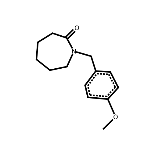 COc1ccc(CN2CCCCCC2=O)cc1